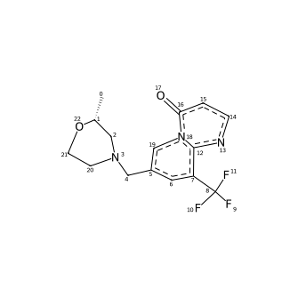 C[C@@H]1CN(Cc2cc(C(F)(F)F)c3nccc(=O)n3c2)CCO1